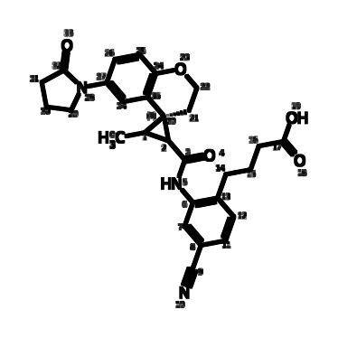 CC1C(C(=O)Nc2cc(C#N)ccc2CCCC(=O)O)[C@@]12CCOc1ccc(N3CCCC3=O)cc12